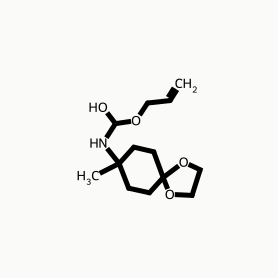 C=CCOC(O)NC1(C)CCC2(CC1)OCCO2